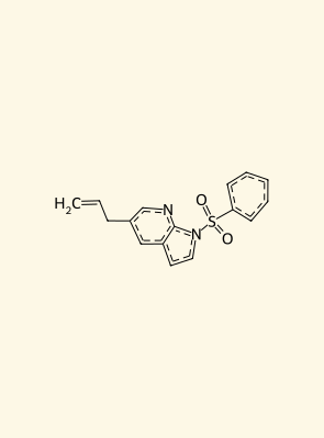 C=CCc1cnc2c(ccn2S(=O)(=O)c2ccccc2)c1